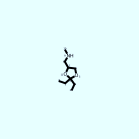 CCC1(CC)OCC(CNC)O1